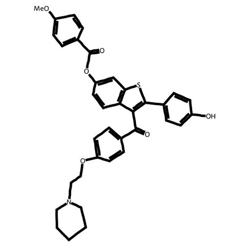 COc1ccc(C(=O)Oc2ccc3c(C(=O)c4ccc(OCCN5CCCCC5)cc4)c(-c4ccc(O)cc4)sc3c2)cc1